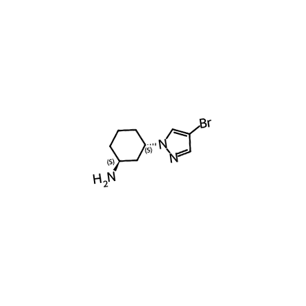 N[C@H]1CCC[C@H](n2cc(Br)cn2)C1